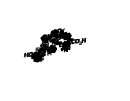 C#Cc1c(F)ccc2cc(O)cc(-c3ncc4c(N5C[C@H]6CC[C@@H](C5)N6)nc(OC[C@@]5(C(=O)NCCOCCOc6cc(C(CC(=O)O)c7ccc(C)c(CN8C[C@@H](C)Oc9ccccc9S8(=O)=O)c7)cc7nnn(C)c67)CCCN5C)nc4c3F)c12